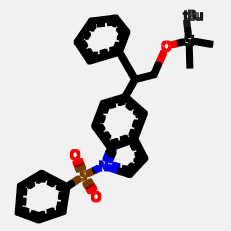 CC(C)(C)[Si](C)(C)OCC(c1ccccc1)c1ccc2c(ccn2S(=O)(=O)c2ccccc2)c1